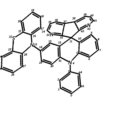 c1ccc(N2c3ccccc3C3(c4cc(N5c6ccccc6Sc6ccccc65)ccc42)c2ncccc2-c2cccnc23)cc1